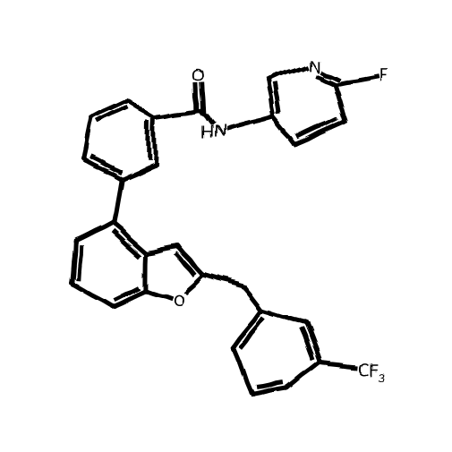 O=C(Nc1ccc(F)nc1)c1cccc(-c2cccc3oc(Cc4cccc(C(F)(F)F)c4)cc23)c1